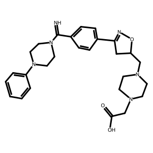 N=C(c1ccc(C2=NOC(CN3CCN(CC(=O)O)CC3)C2)cc1)N1CCN(c2ccccc2)CC1